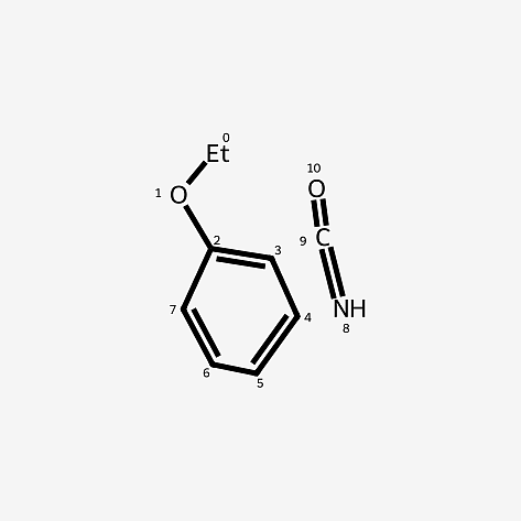 CCOc1ccccc1.N=C=O